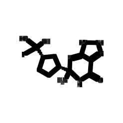 NC1([C@@H]2CC[C@H](C(O)(O)F)C2)N=C2NNN=C2C(=O)N1